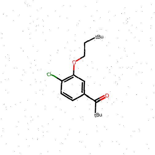 CC(C)(C)CCOc1cc(C(=O)C(C)(C)C)ccc1Cl